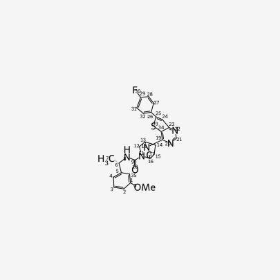 COc1cccc([C@H](C)NC(=O)N2CC3CCC2CN3c2ncnc3cc(-c4ccc(F)cc4)sc23)c1